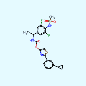 CC(NC(=O)Oc1csc(-c2cccc(C3CC3)c2)n1)c1cc(F)c(NS(C)(=O)=O)c(F)c1